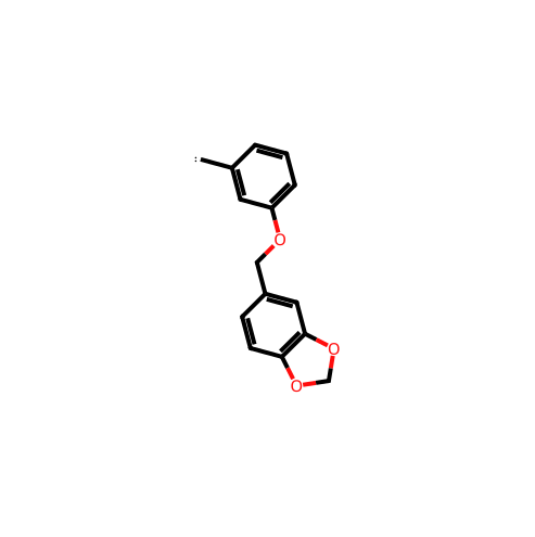 [CH]c1cccc(OCc2ccc3c(c2)OCO3)c1